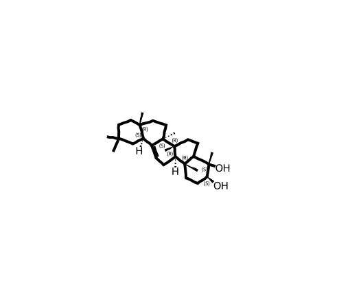 CC1(C)CC[C@]2(C)CC[C@]3(C)C(=CC[C@@H]4[C@@]5(C)CC[C@H](O)[C@@](C)(O)C5CC[C@]43C)[C@H]2C1